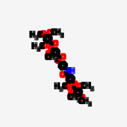 COc1cc(OC)c(C(=O)Oc2ccc(C(=O)Nc3ccc(OC(=O)c4ccc(OC(=O)c5cc(OC)c(OC)cc5OC)c(OC)c4)cc3)cc2OC)c(OC)c1